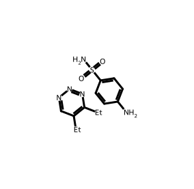 CCc1cnnnc1CC.Nc1ccc(S(N)(=O)=O)cc1